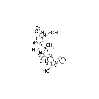 C#Cc1nn(C2CCCCO2)c2cnc(-c3c(C)nn(C)c3O[C@@H](C)CN(Cc3c(I)c(OCC)nn3CCO)C(C)C)cc12